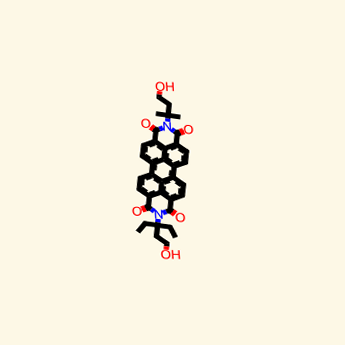 CCC(CC)(CCO)N1C(=O)c2ccc3c4ccc5c6c(ccc(c7ccc(c2c37)C1=O)c64)C(=O)N(C(C)(C)CCO)C5=O